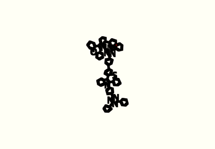 c1ccc(-c2nc(-c3ccccc3)nc(-c3ccc(-n4c5c(c6ccccc64)-c4ccc(-c6ccc(-c7nc(-c8ccccc8)nc(-n8c9c(c%10cccc(-c%11ccccc%11)c%108)-c8ccccc8Oc8ccccc8-9)n7)cc6)cc4Sc4ccccc4-5)cc3)n2)cc1